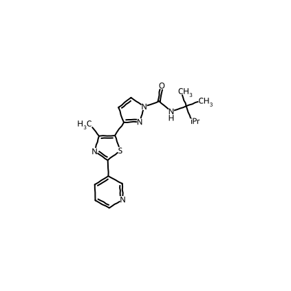 Cc1nc(-c2cccnc2)sc1-c1ccn(C(=O)NC(C)(C)C(C)C)n1